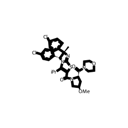 CO[C@@H]1C[C@@H](C(=O)N2CCOCC2)N(C(=O)C2=C(C(C)C)N3C(=N[C@@](C)(c4ccc(Cl)cc4)[C@H]3c3ccc(Cl)cc3)S2)C1